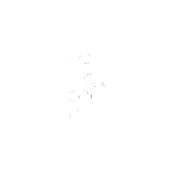 COc1cccc(CC(=O)C2C[N@@]3CC4C(=O)N(c5cccc(C(F)(F)F)c5)C(=O)[N+]24C3)c1